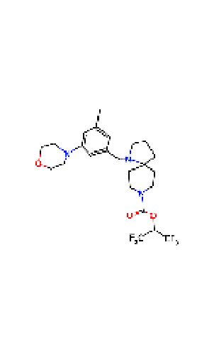 Cc1cc(CN2CCCC23CCN(C(=O)OC(C(F)(F)F)C(F)(F)F)CC3)cc(N2CCOCC2)c1